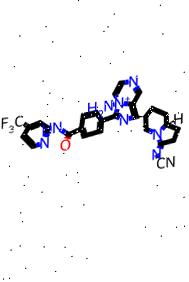 N#CN=C1CC[C@@H]2CC[C@@H](C3=C4C=NC=C[N+]4(N)C(c4ccc(C(=O)Nc5cc(C(F)(F)F)ccn5)cc4)=N3)CN12